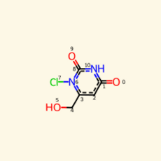 O=c1cc(CO)n(Cl)c(=O)[nH]1